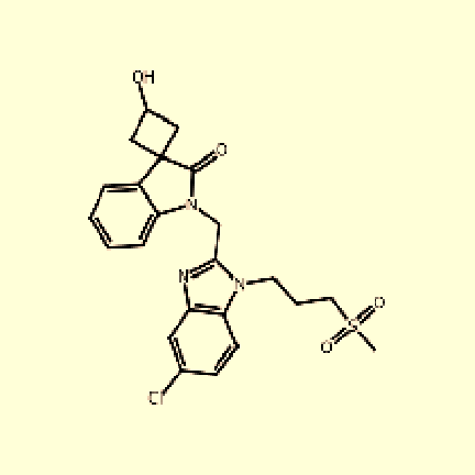 CS(=O)(=O)CCCn1c(CN2C(=O)C3(CC(O)C3)c3ccccc32)nc2cc(Cl)ccc21